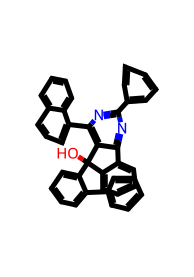 OC1(c2ccccc2-c2ccccc2)c2ccccc2-c2nc(-c3ccccc3)nc(-c3cccc4ccccc34)c21